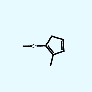 [CH3][Sr][C]1=C(C)C=CC1